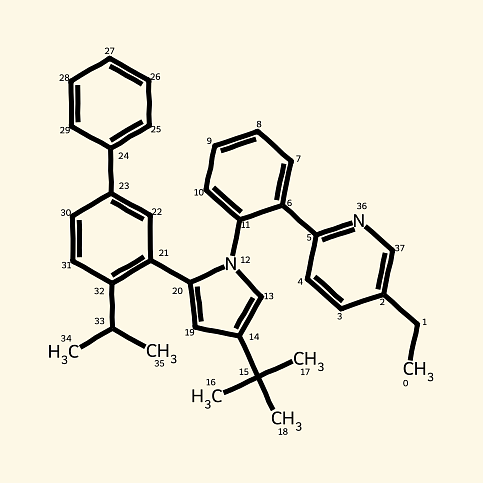 CCc1ccc(-c2ccccc2-n2cc(C(C)(C)C)cc2-c2cc(-c3ccccc3)ccc2C(C)C)nc1